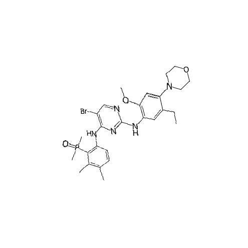 CCc1cc(Nc2ncc(Br)c(Nc3ccc(C)c(C)c3P(C)(C)=O)n2)c(OC)cc1N1CCOCC1